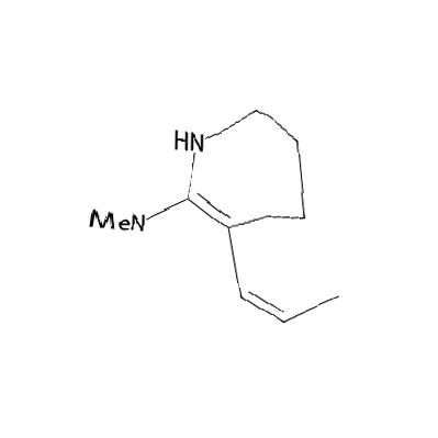 C/C=C\C1=C(NC)NCCC1